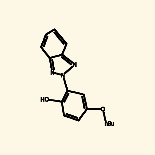 CCCCOc1ccc(O)c(-n2nc3ccccc3n2)c1